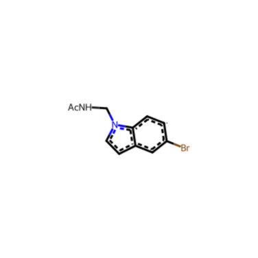 CC(=O)NCn1ccc2cc(Br)[c]cc21